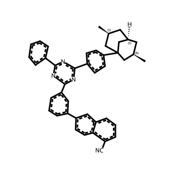 C[C@@H]1C[C@@H]2C[C@H](C)CC(c3ccc(-c4nc(-c5ccccc5)nc(-c5cccc(-c6ccc7c(C#N)cccc7c6)c5)n4)cc3)(C1)C2